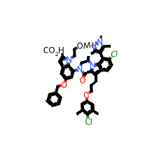 COCCn1c(C(=O)O)cc2cc(OCc3ccccc3)cc(N3CC(C)n4c(c(CCCOc5cc(C)c(Cl)c(C)c5)c5ccc(Cl)c(-c6c(C)nn(C)c6C)c54)C3=O)c21